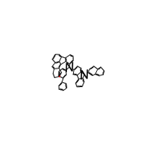 C1=Cc2c(cc3cccc4c3c2-c2c-4cccc2N(c2cccc(-c3ccccc3)c2)c2ccc3c(c2)c2ccccc2n3-c2ccc3ccccc3c2)CC1